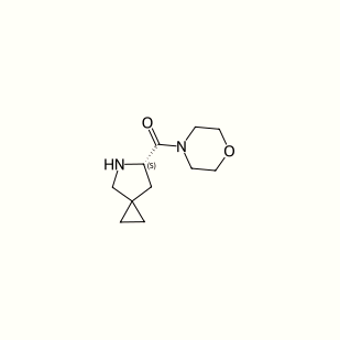 O=C([C@@H]1CC2(CC2)CN1)N1CCOCC1